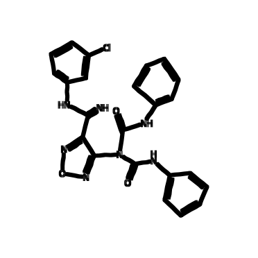 N=C(Nc1cccc(Cl)c1)c1nonc1N(C(=O)Nc1ccccc1)C(=O)Nc1ccccc1